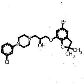 CC1(C)Cc2cc(Br)cc(OCC(O)CN3CCN(c4cccc(Cl)c4)CC3)c2O1